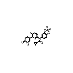 Cc1cnc(N(C(=O)C2CC2)c2ccc3c(c2)OC(F)(F)O3)nc1-c1ccc(=O)[nH]c1